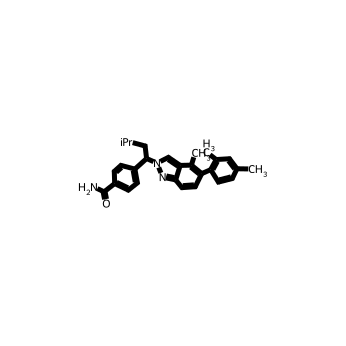 Cc1ccc(-c2ccc3nn(C(CC(C)C)c4ccc(C(N)=O)cc4)cc3c2C)c(C)c1